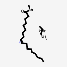 Br.CCCCCCCC/C=C\CCCCCCCC(=O)N(C)C.CCCN